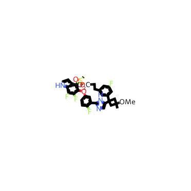 COC1(C)CC(c2cc(F)cc(CCC(=O)O)c2)(c2cnc(-c3cc(Oc4c(F)c(F)c5[nH]ccc5c4S(C)(=O)=O)ccc3F)[nH]2)C1